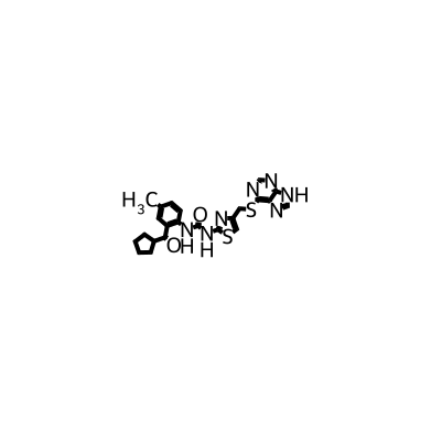 Cc1ccc(NC(=O)Nc2nc(CSc3ncnc4[nH]cnc34)cs2)c(C(=O)C2CCCC2)c1